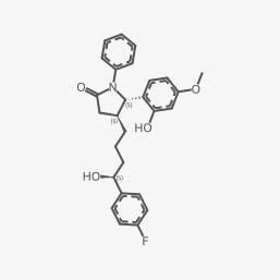 COc1ccc([C@@H]2[C@@H](CCC[C@H](O)c3ccc(F)cc3)CC(=O)N2c2ccccc2)c(O)c1